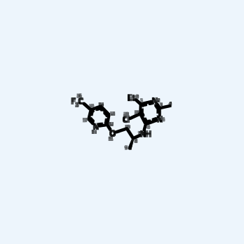 CCc1nc(C)nc(N[C@@H](C)COc2ccc(C(F)(F)F)cn2)c1Cl